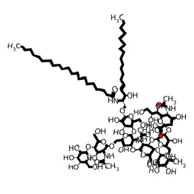 CCCCCCCCCCCCC/C=C/[C@@H](O)[C@H](CO[C@@H]1OC(CO)[C@@H](O[C@@H]2OC(CO[C@@H]3OC(CO)[C@@H](O[C@@H]4OC(CO)[C@H](O)[C@H](O)C4O)[C@H](O)C3NC(C)=O)[C@H](O)[C@H](O[C@@H]3OC(CO)[C@@H](O[C@H]4OC(C)[C@@H](O)C(O)[C@@H]4O)[C@H](O[C@@H]4OC(CO)[C@H](O)[C@H](O[C@]5(C(=O)O)CC(O)[C@@H](NC(C)=O)C([C@H](O)[C@H](O)CO)O5)C4O)C3NC(C)=O)C2O)[C@H](O)C1O)NC(=O)CCCCCCCCCCCCCCCCCCCCC